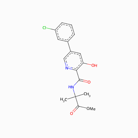 COC(=O)C(C)(C)NC(=O)c1ncc(-c2cccc(Cl)c2)cc1O